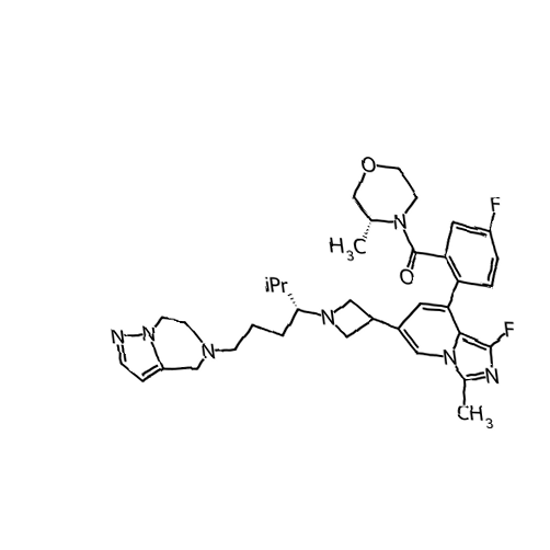 Cc1nc(F)c2c(-c3ccc(F)cc3C(=O)N3CCOC[C@H]3C)cc(C3CN([C@H](CCCN4CCn5nccc5C4)C(C)C)C3)cn12